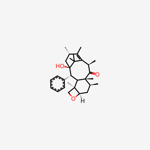 CC1=C2[C@@H](C)C(=O)[C@@]3(C)C([C@H](c4ccccc4)[C@](O)(C[C@@H]1C)C2(C)C)[C@]1(C)CO[C@@H]1C[C@@H]3C